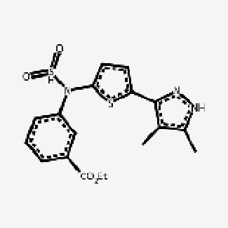 CCOC(=O)c1cccc(N(c2ccc(-c3n[nH]c(C)c3C)s2)[SH](=O)=O)c1